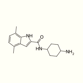 Cc1ccc(C)c2[nH]c(C(=O)NC3CCC(N)CC3)cc12